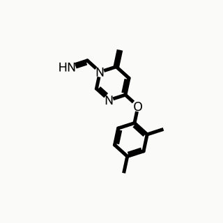 C=C1C=C(Oc2ccc(C)cc2C)N=CN1C=N